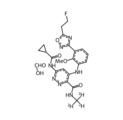 O=CO.[2H]C([2H])([2H])NC(=O)c1nnc(NC(=O)C2CC2)cc1Nc1cccc(-c2noc(CCF)n2)c1OC